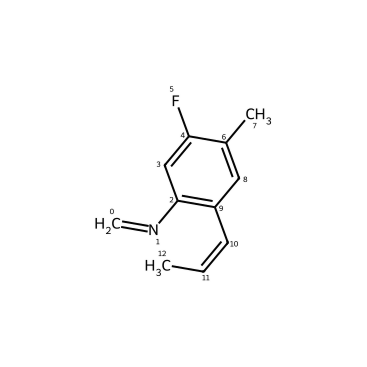 C=Nc1cc(F)c(C)cc1/C=C\C